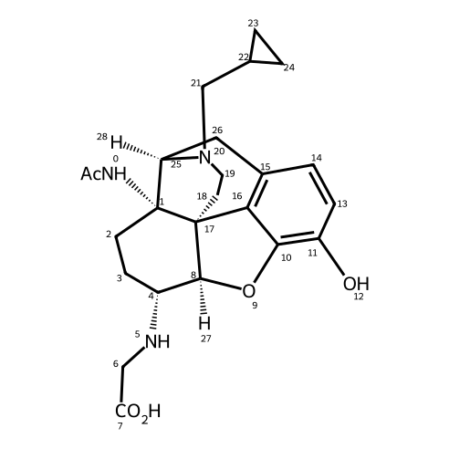 CC(=O)N[C@@]12CC[C@@H](NCC(=O)O)[C@@H]3Oc4c(O)ccc5c4[C@@]31CCN(CC1CC1)[C@@H]2C5